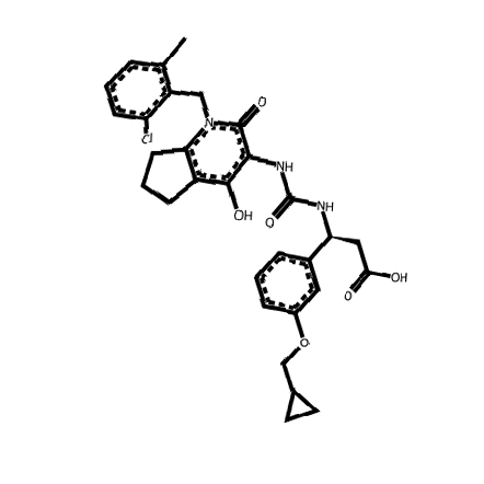 Cc1cccc(Cl)c1Cn1c2c(c(O)c(NC(=O)N[C@@H](CC(=O)O)c3cccc(OCC4CC4)c3)c1=O)CCC2